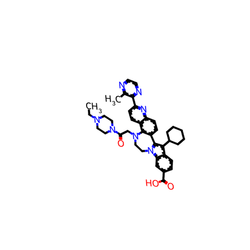 CCN1CCN(C(=O)CN2CCn3c(c(C4CCCCC4)c4ccc(C(=O)O)cc43)-c3ccc4nc(-c5nccnc5C)ccc4c32)CC1